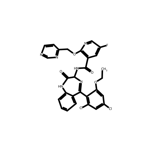 CCOc1cc(Cl)cc(Cl)c1C1=NC(NC(=O)c2cc(F)cnc2OCc2ccncn2)C(=O)Nc2ccccc21